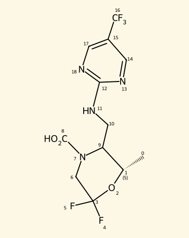 C[C@@H]1OC(F)(F)CN(C(=O)O)C1CNc1ncc(C(F)(F)F)cn1